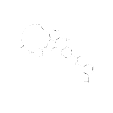 Nc1ncc2c3c1c(-c1ccc(C(=O)Nc4cc(C(F)(F)F)ccn4)cc1)nn3[C@@H]1CC[C@H](C1)NC(=O)CCCCC/C=C/2